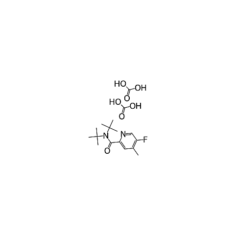 Cc1cc(C(=O)N(C(C)(C)C)C(C)(C)C)ncc1F.O=C(O)O.O=C(O)O